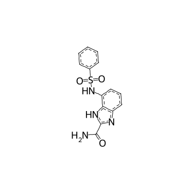 NC(=O)c1nc2cccc(NS(=O)(=O)c3ccccc3)c2[nH]1